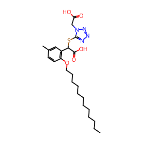 CCCCCCCCCCCCOc1ccc(C)cc1C(Sc1nnnn1CC(=O)O)C(=O)O